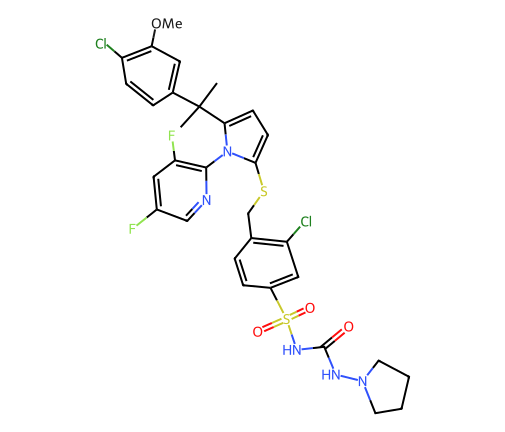 COc1cc(C(C)(C)c2ccc(SCc3ccc(S(=O)(=O)NC(=O)NN4CCCC4)cc3Cl)n2-c2ncc(F)cc2F)ccc1Cl